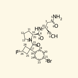 C#C[C@H](CC(N)=O)NC(=O)[C@@H]1CCCN1C(=O)C1(c2ccc(Br)cc2)CC(F)C1